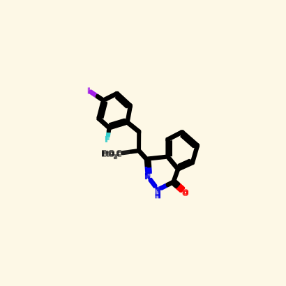 CCOC(=O)C(Cc1ccc(I)cc1F)c1n[nH]c(=O)c2ccccc12